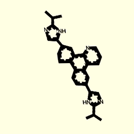 CC(C)c1ncc(-c2ccc3c(c2)c2cccnc2c2cc(-c4cnc(C(C)C)[nH]4)ccc32)[nH]1